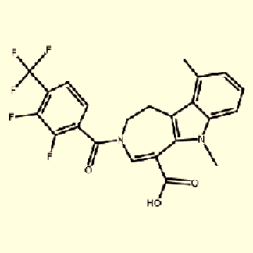 Cc1cccc2c1c1c(n2C)C(C(=O)O)=CN(C(=O)c2ccc(C(F)(F)F)c(F)c2F)CC1